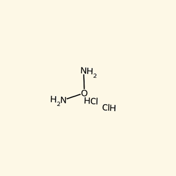 Cl.Cl.NON